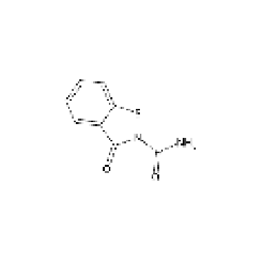 NC(=O)n1sc2ccccc2c1=O